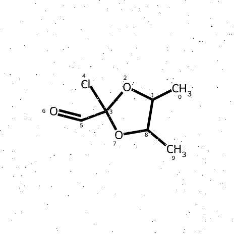 CC1OC(Cl)(C=O)OC1C